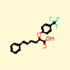 O=C(O)C(CC/C=C/c1ccccc1)Oc1ccc(C(F)(F)F)cc1